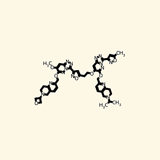 COc1cc2nnc(-c3cc(CCOc4cc5nnc(-c6cc(C)on6)n5nc4OCc4ccc5c(n4)CCN(C(C)C)C5)on3)n2nc1OCc1ccc2c(n1)CCN(C1COC1)C2